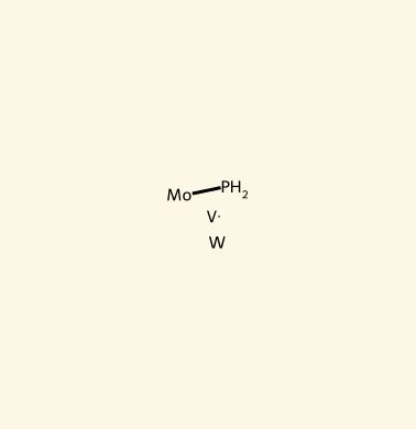 [PH2][Mo].[V].[W]